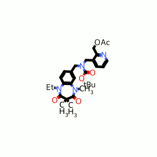 CCN1C(=O)C(C)(C)C(=O)N(C)c2cc(CN(Cc3cccnc3COC(C)=O)C(=O)OC(C)(C)C)ccc21